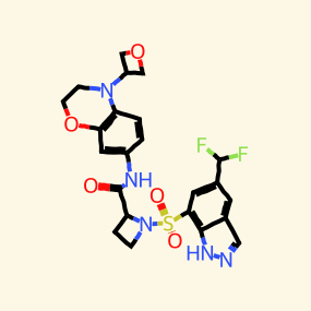 O=C(Nc1ccc2c(c1)OCCN2C1COC1)C1CCN1S(=O)(=O)c1cc(C(F)F)cc2cn[nH]c12